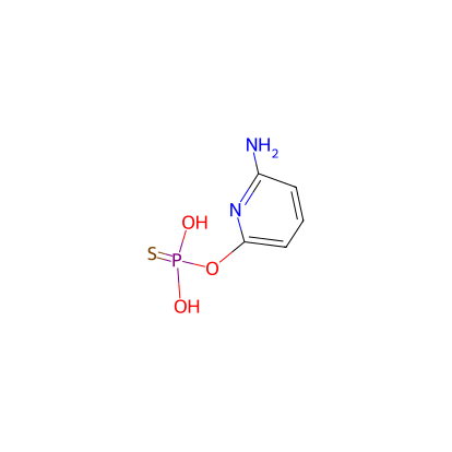 Nc1cccc(OP(O)(O)=S)n1